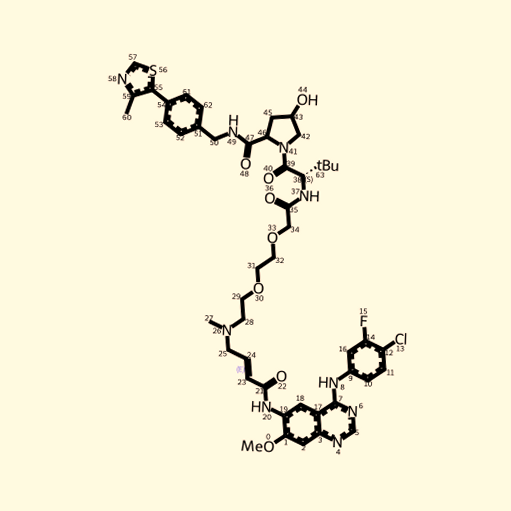 COc1cc2ncnc(Nc3ccc(Cl)c(F)c3)c2cc1NC(=O)/C=C/CN(C)CCOCCOCC(=O)N[C@H](C(=O)N1CC(O)CC1C(=O)NCc1ccc(-c2scnc2C)cc1)C(C)(C)C